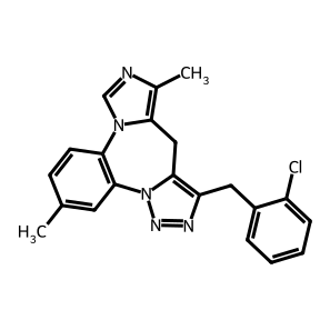 Cc1ccc2c(c1)-n1nnc(Cc3ccccc3Cl)c1Cc1c(C)ncn1-2